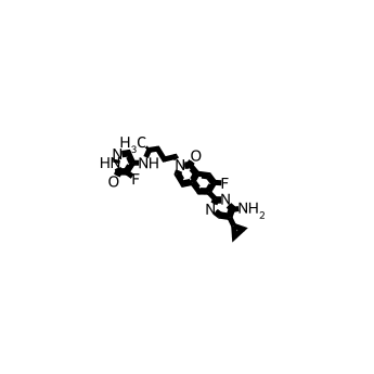 C[C@@H](CCCn1ccc2cc(-c3ncc(C4CC4)c(N)n3)c(F)cc2c1=O)Nc1cn[nH]c(=O)c1F